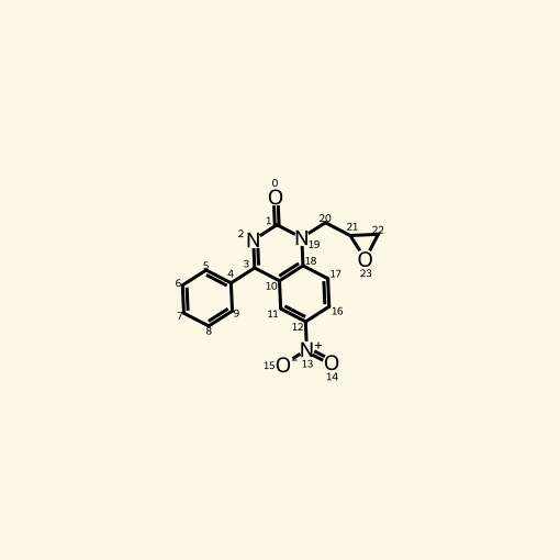 O=c1nc(-c2ccccc2)c2cc([N+](=O)[O-])ccc2n1CC1CO1